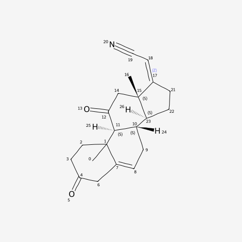 CC12CCC(=O)CC1=CC[C@@H]1[C@@H]2C(=O)C[C@]2(C)/C(=C\C#N)CC[C@@H]12